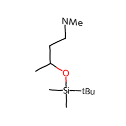 CNCCC(C)O[Si](C)(C)C(C)(C)C